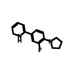 Fc1cc(C2=CC=CCN2)ccc1N1CCCC1